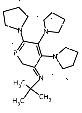 CC(C)(C)N=C1CP=C(N2CCCC2)C(N2CCCC2)=C1N1CCCC1